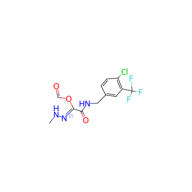 CN/N=C(\OC=O)C(=O)NCc1ccc(Cl)c(C(F)(F)F)c1